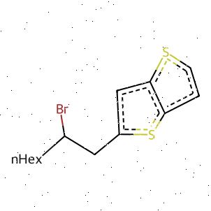 CCCCCCC(Br)Cc1cc2sccc2s1